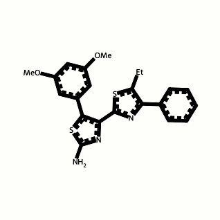 CCc1sc(-c2nc(N)sc2-c2cc(OC)cc(OC)c2)nc1-c1ccccc1